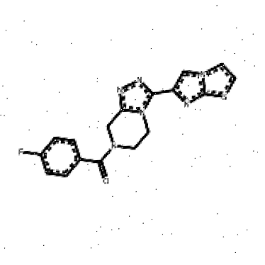 O=C(c1ccc(F)cc1)N1CCn2c(nnc2-c2cn3ccsc3n2)C1